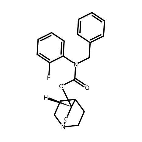 O=C(O[C@H]1CN2CCC1CC2)N(Cc1ccccc1)c1ccccc1F